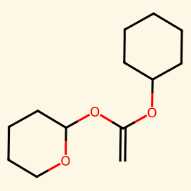 C=C(OC1CCCCC1)OC1CCCCO1